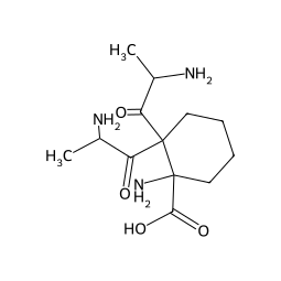 CC(N)C(=O)C1(C(=O)C(C)N)CCCCC1(N)C(=O)O